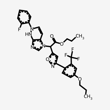 CCCOC(=O)C(c1cc(-c2ccc(OCCC)cc2C(F)(F)F)no1)n1cnc2c1C=CN(c1ccccc1F)N2